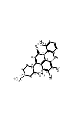 Cc1cccc(C(C)C)c1-n1c(=O)nc(N2CCN(C(=O)O)CC2C)c2cc(Cl)c(Br)cc21